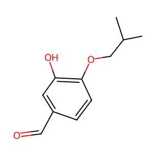 CC(C)COc1ccc(C=O)cc1O